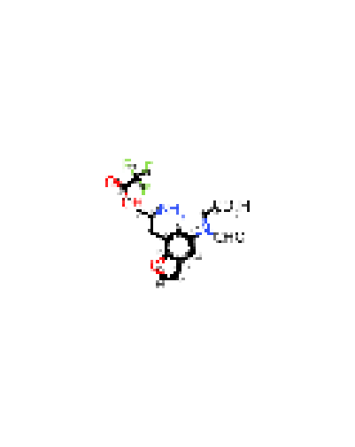 CC(N)Cc1cc(N(C=O)CC(=O)O)cc2ccoc12.O=C(O)C(F)(F)F